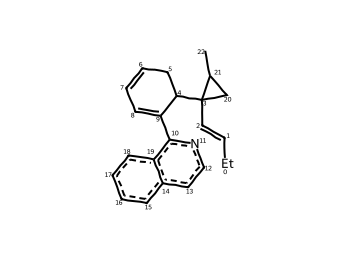 CCC=CC1(C2CC=CC=C2c2nccc3ccccc23)CC1C